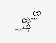 CC(Oc1cc([C@H]2C[C@H](CN[C@H](C)c3cccc4ccccc34)Oc3ccccc32)ccc1F)C(=O)O